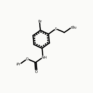 CC(C)OC(=O)Nc1ccc(Br)c(SCC(C)(C)C)c1